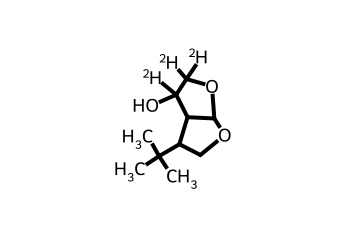 [2H]C1([2H])OC2OCC(C(C)(C)C)C2C1([2H])O